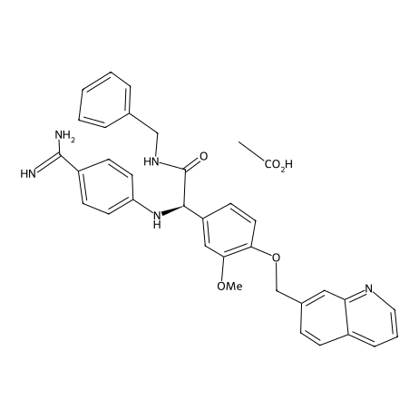 CC(=O)O.COc1cc([C@@H](Nc2ccc(C(=N)N)cc2)C(=O)NCc2ccccc2)ccc1OCc1ccc2cccnc2c1